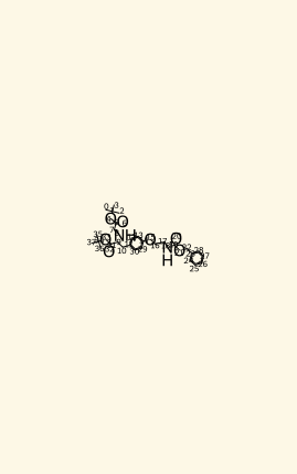 CC(C)(C)OC(=O)CNC(Cc1ccc(OCCNC(=O)OCc2ccccc2)cc1)C(=O)OC(C)(C)C